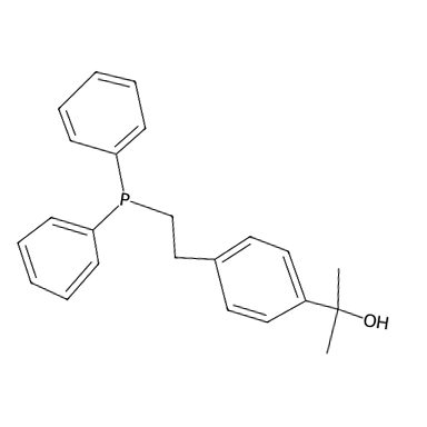 CC(C)(O)c1ccc(CCP(c2ccccc2)c2ccccc2)cc1